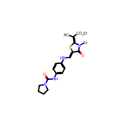 CCOC(=O)C(C#N)=c1sc(=CNc2ccc(NC(=O)N3CCCC3)cc2)c(=O)n1CC